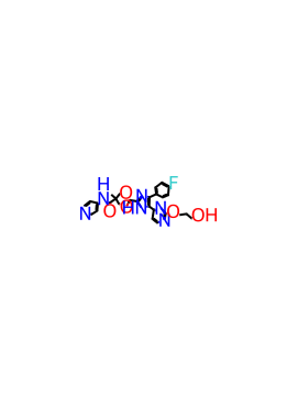 CC1(C(=O)Nc2ccncc2)COC(c2nc(-c3ccc(F)cc3)c(-c3ccnc(OCCCO)n3)[nH]2)OC1